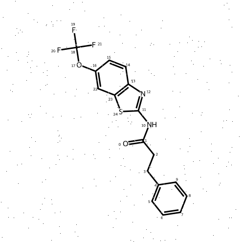 O=C(CCc1ccccc1)Nc1nc2ccc(OC(F)(F)F)cc2s1